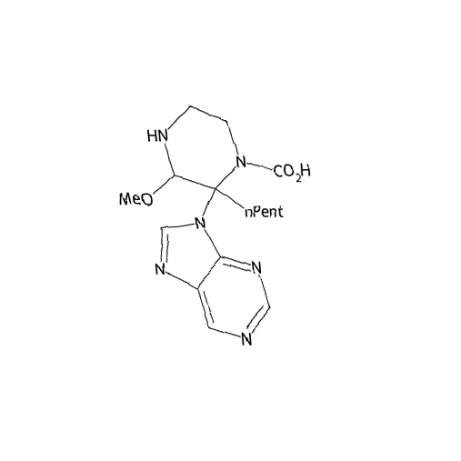 CCCCCC1(n2cnc3cncnc32)C(OC)NCCN1C(=O)O